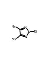 CCCc1nn(CC)nc1Br